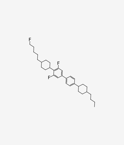 CCCCC1CCC(c2ccc(-c3cc(F)c(C4CCC(CCCCCF)CC4)c(F)c3)cc2)CC1